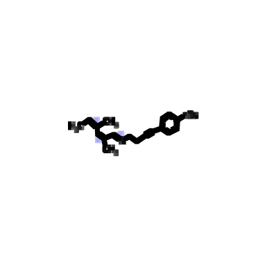 C\C=C(C)/C=C(C)\C=N\CCC#Cc1ccc(CCCC)cc1